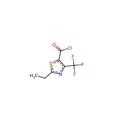 CCc1nc(C(F)(F)F)c(C(=O)Cl)s1